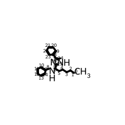 CCCCCCC(NCc1ccccc1)c1nc(-c2ccccc2)c[nH]1